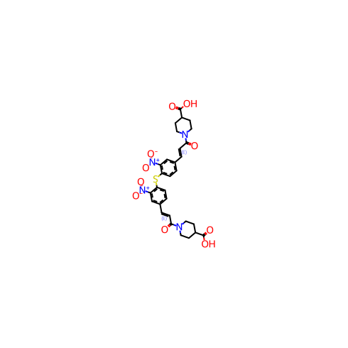 O=C(O)C1CCN(C(=O)/C=C/c2ccc(Sc3ccc(/C=C/C(=O)N4CCC(C(=O)O)CC4)cc3[N+](=O)[O-])c([N+](=O)[O-])c2)CC1